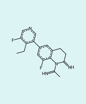 CCc1c(F)cncc1-c1cc(F)c2c(c1)CCC(=N)N2C(C)=N